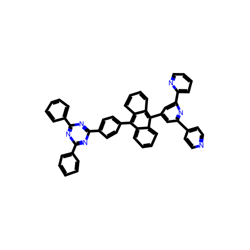 c1ccc(-c2nc(-c3ccccc3)nc(-c3ccc(-c4c5ccccc5c(-c5cc(-c6ccncc6)nc(-c6ccccn6)c5)c5ccccc45)cc3)n2)cc1